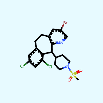 CS(=O)(=O)N1CCC(C2c3ncc(Br)cc3CCc3cc(Cl)cc(Cl)c32)CC1